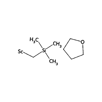 C1CCOC1.C[Si](C)(C)[CH2][Sc]